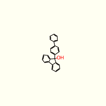 OC1(c2ccc(-c3ccccc3)cc2)c2ccccc2-c2ccccc21